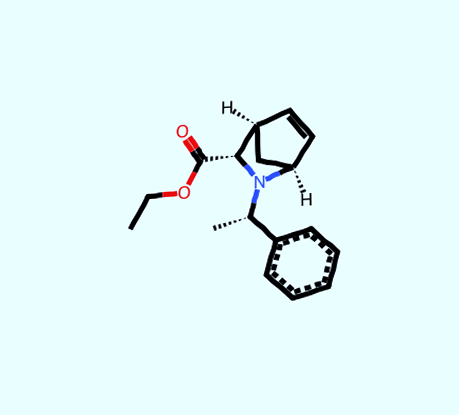 CCOC(=O)[C@@H]1[C@H]2C=C[C@H](C2)N1[C@@H](C)c1ccccc1